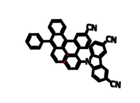 N#Cc1ccc(-c2ccccc2-n2c3ccc(C#N)cc3c3cc(C#N)ccc32)c(-c2c3ccccc3c(-c3ccccc3)c3ccccc23)c1